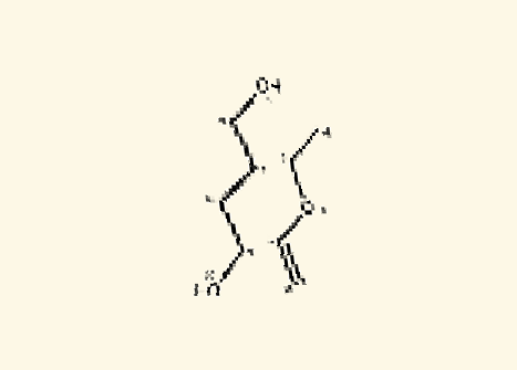 C=COCC.OCCCCO